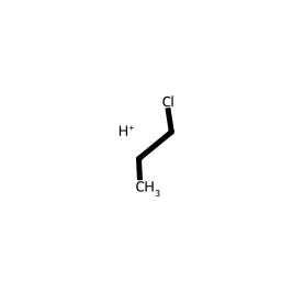 CCCCl.[H+]